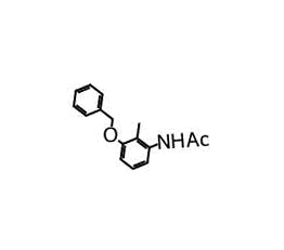 CC(=O)Nc1cccc(OCc2ccccc2)c1C